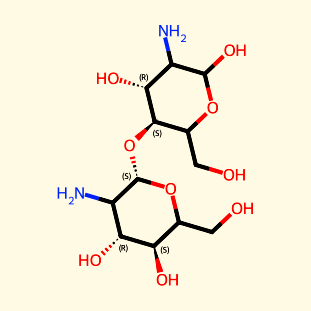 NC1[C@H](O[C@@H]2C(CO)OC(O)C(N)[C@H]2O)OC(CO)[C@@H](O)[C@@H]1O